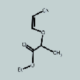 CCOC(=O)C(C)O/C=C\C#N